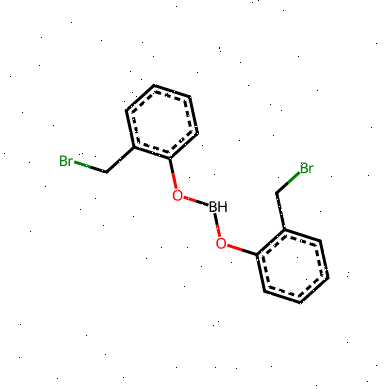 BrCc1ccccc1OBOc1ccccc1CBr